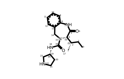 CC[C@H](C)[C@H]1C(=O)Nc2ccccc2CN1C(=O)N[C@@H]1CCNC1